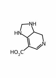 O=C(O)C1=C2NCNC2CN=C1